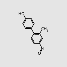 Cc1cc(N=O)ccc1-c1ccc(O)cc1